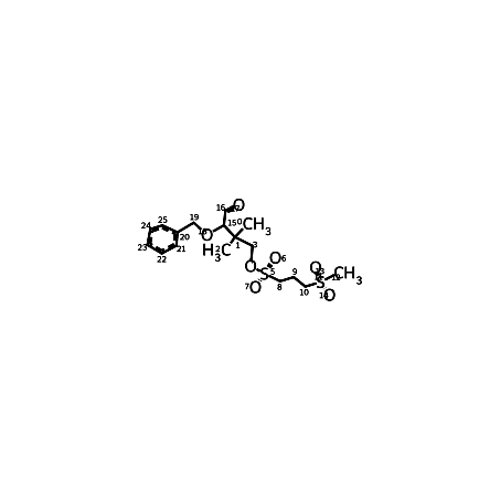 CC(C)(COS(=O)(=O)CCCS(C)(=O)=O)C(C=O)OCc1ccccc1